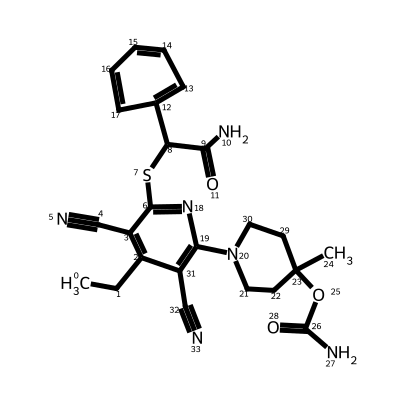 CCc1c(C#N)c(SC(C(N)=O)c2ccccc2)nc(N2CCC(C)(OC(N)=O)CC2)c1C#N